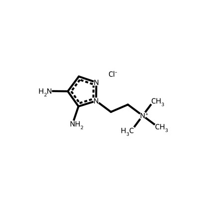 C[N+](C)(C)CCn1ncc(N)c1N.[Cl-]